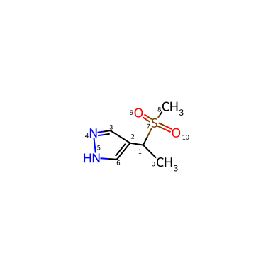 CC(c1cn[nH]c1)S(C)(=O)=O